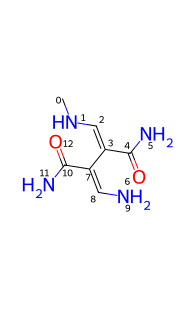 CN/C=C(C(N)=O)\C(=C/N)C(N)=O